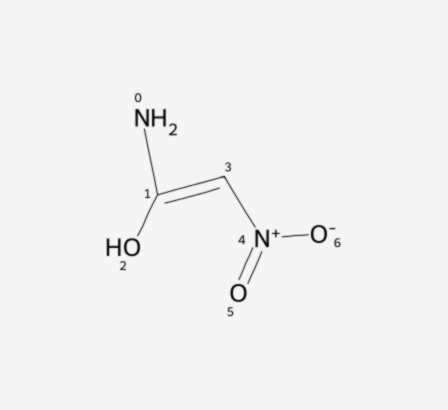 NC(O)=C[N+](=O)[O-]